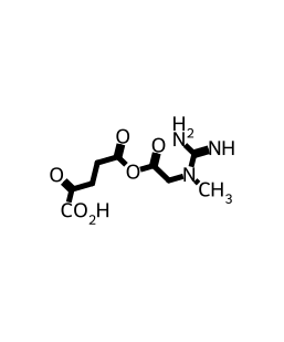 CN(CC(=O)OC(=O)CCC(=O)C(=O)O)C(=N)N